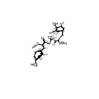 [3H]c1cc(CC(CCCC)C(=O)OC(C)OC(=O)C(CCCC)Cc2ccc(O)cc2)cc([3H])c1O